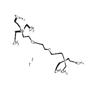 CC[N+](CC)(CC)CCOCCOCC[N+](CC)(CC)CC.[I-].[I-]